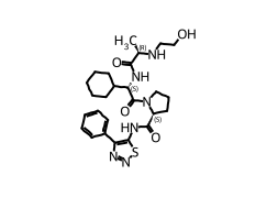 C[C@@H](NCCO)C(=O)N[C@H](C(=O)N1CCC[C@H]1C(=O)Nc1snnc1-c1ccccc1)C1CCCCC1